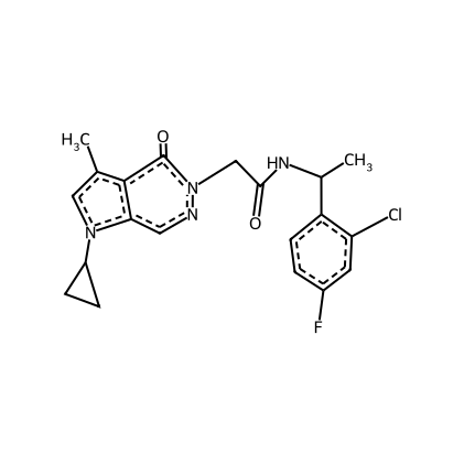 Cc1cn(C2CC2)c2cnn(CC(=O)NC(C)c3ccc(F)cc3Cl)c(=O)c12